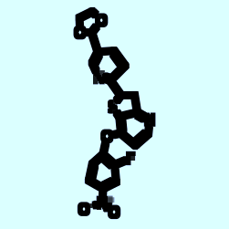 O=[N+]([O-])c1ccc(Oc2ccnc3c2SC(c2ccc(C4OCCO4)cn2)C3)c(F)c1